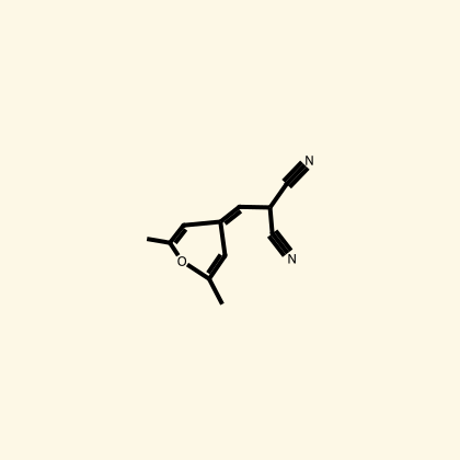 CC1=CC(=CC(C#N)C#N)C=C(C)O1